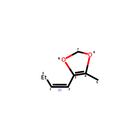 CC/C=C\C1=C(C)OCO1